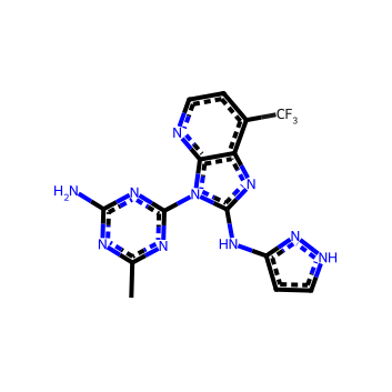 Cc1nc(N)nc(-n2c(Nc3cc[nH]n3)nc3c(C(F)(F)F)ccnc32)n1